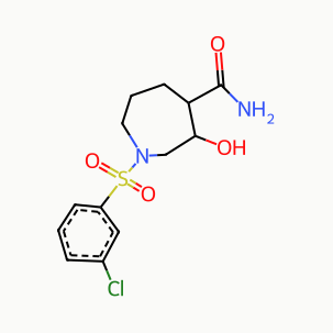 NC(=O)C1CCCN(S(=O)(=O)c2cccc(Cl)c2)CC1O